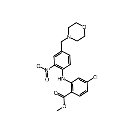 COC(=O)c1ccc(Cl)cc1Nc1ccc(CN2CCOCC2)cc1[N+](=O)[O-]